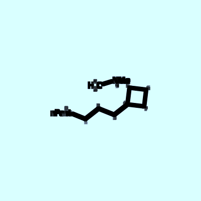 CCCCCCCCC1CCC1.CNC